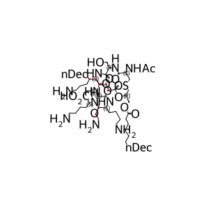 CCCCCCCCCCCCCCCC(=O)OC[C@H](CSC[C@@H](NC(C)=O)C(=O)N[C@H](CO)C(=O)N[C@@H](CCCCN)C(=O)N[C@@H](CCCCN)C(=O)N[C@@H](CCCCN)C(=O)N[C@@H](CCCCN)C(=O)O)OC(=O)CCCCCCCCCCCCCCC